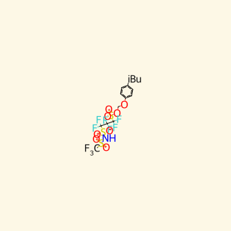 CCC(C)c1ccc(OCOS(=O)(=O)C(F)(F)C(F)(F)C(F)(F)S(=O)(=O)NS(=O)(=O)C(F)(F)F)cc1